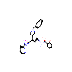 O=C(NCCC(c1nc(-c2ccccn2)no1)C1CCN(Cc2ccccc2)CC1)c1ccccc1O